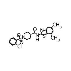 Cc1cc(C)c2sc(NC(=O)C3CCN(S(=O)(=O)c4ccccc4Cl)CC3)nc2c1